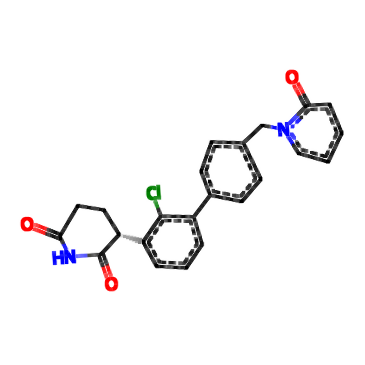 O=C1CC[C@H](c2cccc(-c3ccc(Cn4ccccc4=O)cc3)c2Cl)C(=O)N1